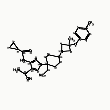 CC1(Oc2ccc(C(F)(F)F)cc2)CN(N2CCC(CC#N)(n3cc(C(N)O)c(NC(=O)C4CC4)n3)CC2)C1